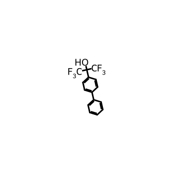 OC(c1ccc(-c2ccccc2)cc1)(C(F)(F)F)C(F)(F)F